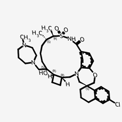 C[C@@H]1[C@@H](C)CCC[C@@](O)(CN2CCCN(C)CC2)[C@@H]2CC[C@H]2CN2C[C@@]3(CCCc4cc(Cl)ccc43)COc3ccc(cc32)C(=O)NS1(=O)=O